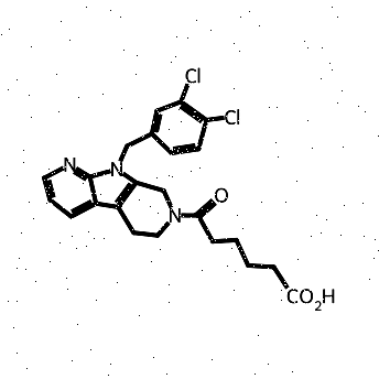 O=C(O)CCCCC(=O)N1CCc2c(n(Cc3ccc(Cl)c(Cl)c3)c3ncccc23)C1